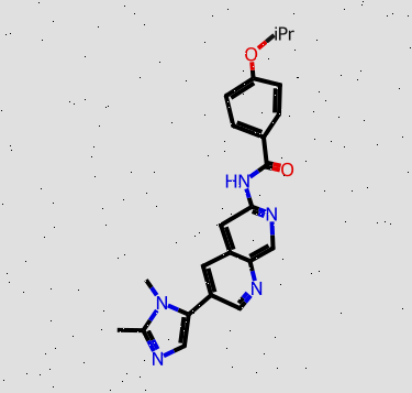 Cc1ncc(-c2cnc3cnc(NC(=O)c4ccc(OC(C)C)cc4)cc3c2)n1C